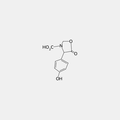 O=C1OCN(C(=O)O)C1c1ccc(O)cc1